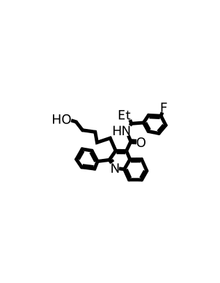 CCC(NC(=O)c1c(CCCCCO)c(-c2ccccc2)nc2ccccc12)c1cccc(F)c1